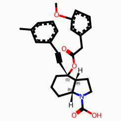 COc1cccc(CC(=O)O[C@@]2(C#Cc3cccc(C)c3)CCC[C@@H]3[C@H]2CCN3C(=O)O)c1